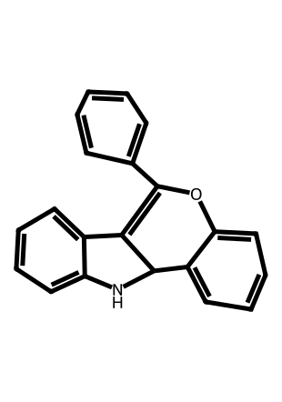 c1ccc(C2=C3c4ccccc4NC3c3ccccc3O2)cc1